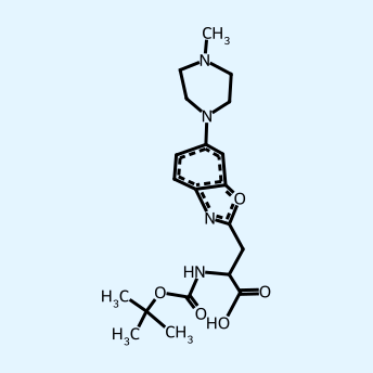 CN1CCN(c2ccc3nc(CC(NC(=O)OC(C)(C)C)C(=O)O)oc3c2)CC1